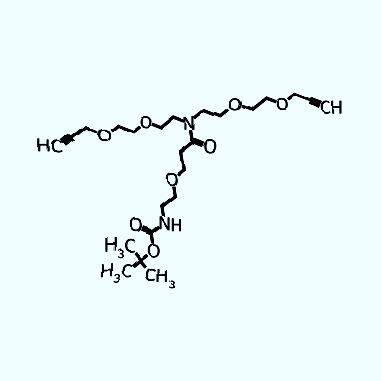 C#CCOCCOCCN(CCOCCOCC#C)C(=O)CCOCCNC(=O)OC(C)(C)C